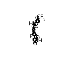 O=C1CCC(c2c(F)cc(N3CC(OC(=O)Nc4cccc(OC(F)(F)F)c4)C3)cc2F)C(=O)N1